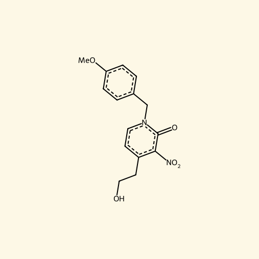 COc1ccc(Cn2ccc(CCO)c([N+](=O)[O-])c2=O)cc1